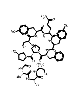 CCC[C@H](NC(=O)[C@@H](NC(=O)[C@@H]1C[C@@H](O)CN1C(=O)[C@@H]1CCCN1C(=O)[C@H](Cc1ccccc1)NC(=O)[C@H](Cc1ccc(O)cc1)NC(=O)[C@H](CCC(N)=O)NC(=O)[C@H](Cc1ccc(O)cc1)NC(=O)[C@@H](N)CS)[C@@H](C)CC)C(=O)N[C@@H](CS)C(=O)O